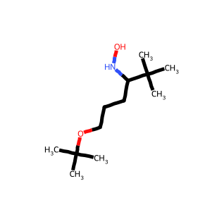 CC(C)(C)OCCCC(NO)C(C)(C)C